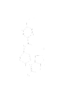 CCCOc1cnc(C(=O)Nc2ccc(F)c([C@]34COC[C@@]3(F)COC(N)=N4)c2)cn1.Cl